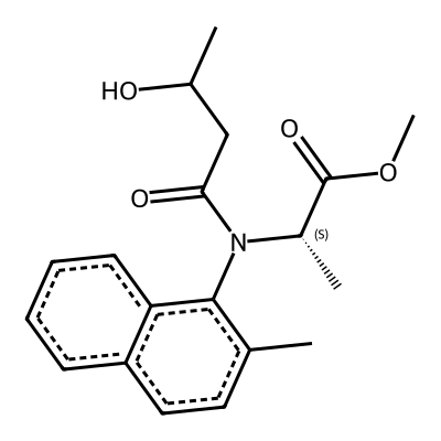 COC(=O)[C@H](C)N(C(=O)CC(C)O)c1c(C)ccc2ccccc12